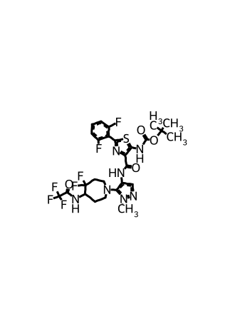 Cn1ncc(NC(=O)c2nc(-c3c(F)cccc3F)sc2NC(=O)OC(C)(C)C)c1N1CCC(NC(=O)C(F)(F)F)C(F)(F)CC1